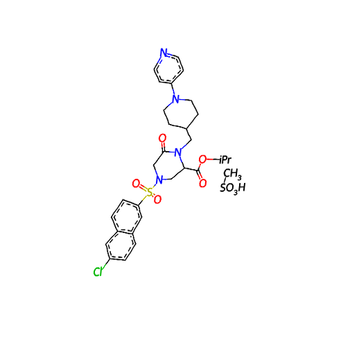 CC(C)OC(=O)C1CN(S(=O)(=O)c2ccc3cc(Cl)ccc3c2)CC(=O)N1CC1CCN(c2ccncc2)CC1.CS(=O)(=O)O